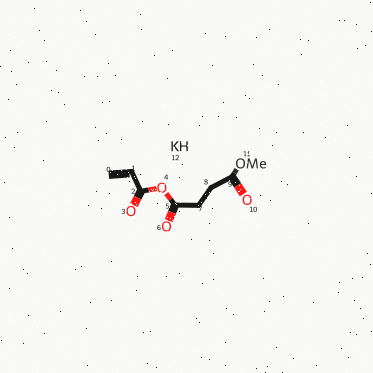 C=CC(=O)OC(=O)CCC(=O)OC.[KH]